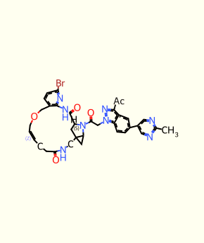 CC(=O)c1nn(CC(=O)N2C3CC34CNC(=O)CC/C=C\COCc3ccc(Br)nc3NC(=O)[C@@H]2C4)c2ccc(-c3cnc(C)nc3)cc12